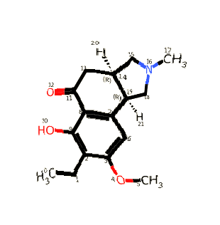 CCc1c(OC)cc2c(c1O)C(=O)C[C@H]1CN(C)C[C@@H]21